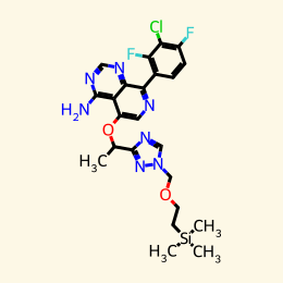 CC(Oc1cnc(-c2ccc(F)c(Cl)c2F)c2ncnc(N)c12)c1ncn(COCC[Si](C)(C)C)n1